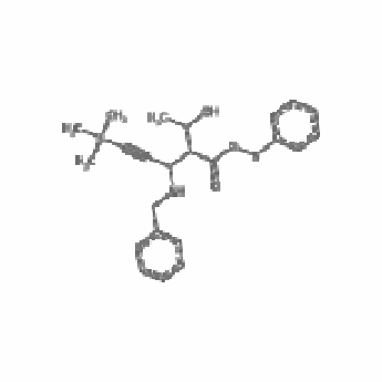 CC(O)C(C(=O)OSc1ccccc1)C(C#C[Si](C)(C)C)NCc1ccccc1